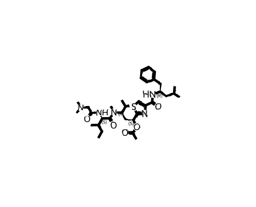 CCC(C)[C@H](NC(=O)CN(C)C)C(=O)N(C)[C@H](C[C@H](OC(C)=O)c1nc(C(=O)N[C@@H](Cc2ccccc2)CC(C)C)cs1)C(C)C